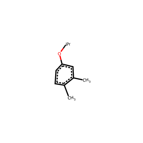 Cc1ccc(OC(C)C)cc1C